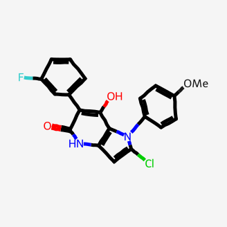 COc1ccc(-n2c(Cl)cc3[nH]c(=O)c(-c4cccc(F)c4)c(O)c32)cc1